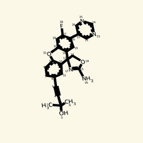 CC(C)(O)C#Cc1ccc2c(c1)C1(COC(N)=N1)c1cc(-c3cncnc3)c(F)cc1O2